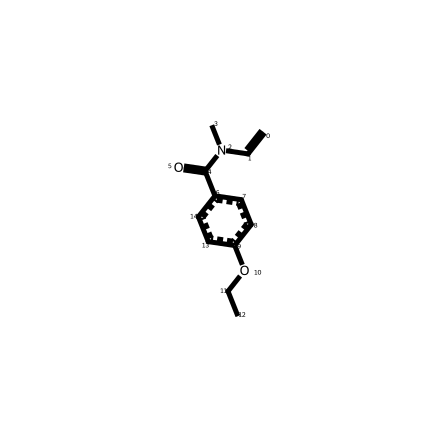 C=CN(C)C(=O)c1ccc(OCC)cc1